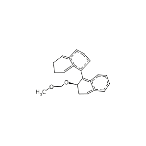 COCO[C@@H]1CC=c2ccccc2=C1c1cccc2c1=CCCC=2